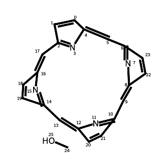 C1=CC2=NC1=CC1=NC(=CC3=NC(=CC4=NC(=C2)C=C4)C=C3)C=C1.CO